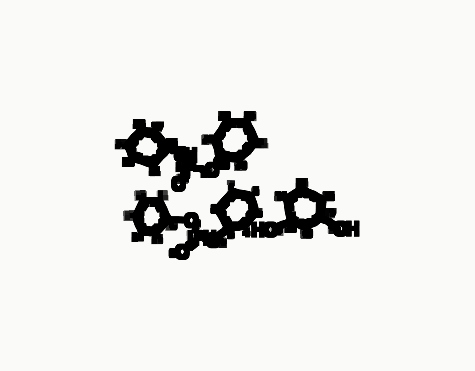 O=[PH](Oc1ccccc1)Oc1ccccc1.O=[PH](Oc1ccccc1)Oc1ccccc1.Oc1cccc(O)c1